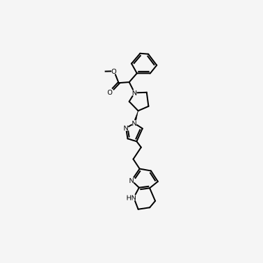 COC(=O)C(c1ccccc1)N1CC[C@@H](n2cc(CCc3ccc4c(n3)NCCC4)cn2)C1